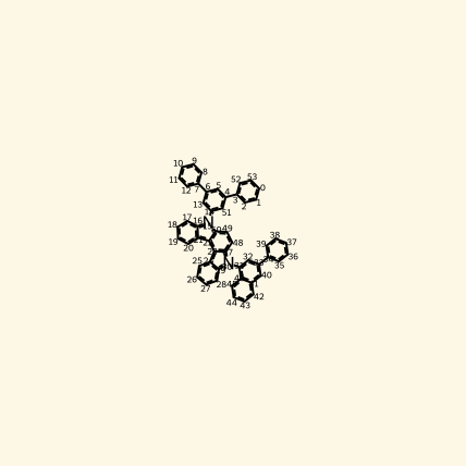 c1ccc(-c2cc(-c3ccccc3)cc(-n3c4ccccc4c4c5c6ccccc6n(-c6cc(-c7ccccc7)cc7ccccc67)c5ccc43)c2)cc1